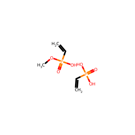 C=CP(=O)(O)O.C=CP(=O)(O)OC